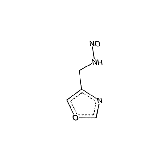 O=NNCc1cocn1